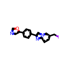 ICc1ccc2nc(-c3ccc(-c4cnco4)cc3)cn2c1